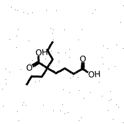 CCCC(CCC)(CCCC(=O)O)C(=O)O